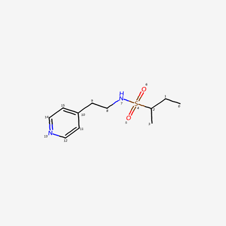 CCC(C)S(=O)(=O)NCCc1ccncc1